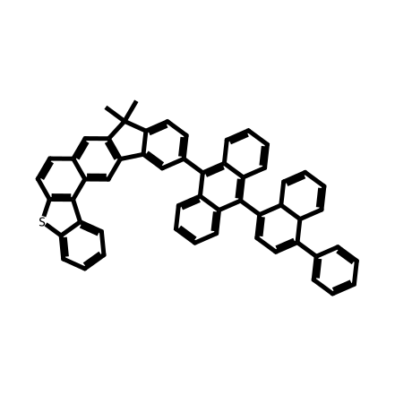 CC1(C)c2ccc(-c3c4ccccc4c(C4=CC=C(c5ccccc5)C5C=CC=CC45)c4ccccc34)cc2-c2cc3c(ccc4sc5ccccc5c43)cc21